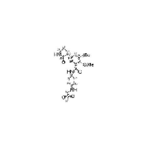 COc1c(C(=O)Nc2ccc(NCS(C)(=O)=O)cc2)cc(-c2ccc[nH]c2=O)cc1C(C)(C)C